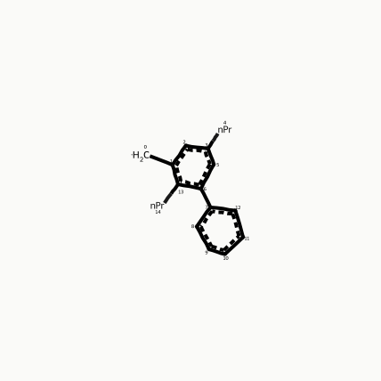 [CH2]c1cc(CCC)cc(-c2ccccc2)c1CCC